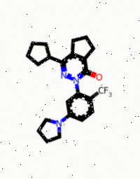 O=c1c2c(c(C3CCCC3)nn1-c1cc(N3CCCC3)ccc1C(F)(F)F)CCC2